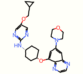 c1cnc2c(O[C@H]3CC[C@@H](Nc4ncc(OCC5CC5)cn4)CC3)cc(N3CCOCC3)cc2n1